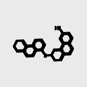 Sc1ccc2ccc3c(c2c1)=CC(Sc1cccc2c4c(ccc12)=CCCC=4)CC=3